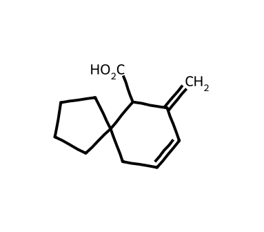 C=C1C=CCC2(CCCC2)C1C(=O)O